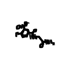 NC(=O)CNC(=O)c1ccc(F)c([N+](=O)[O-])c1